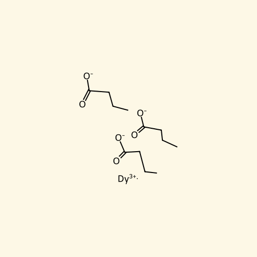 CCCC(=O)[O-].CCCC(=O)[O-].CCCC(=O)[O-].[Dy+3]